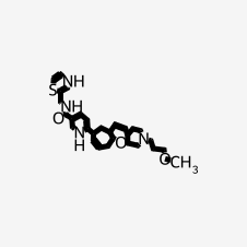 COCCCN1CCC2(C=CC3CC(C4=CC=C(C(=O)NCC5=CNC#CS5)CN4)C#CCC3O2)CC1